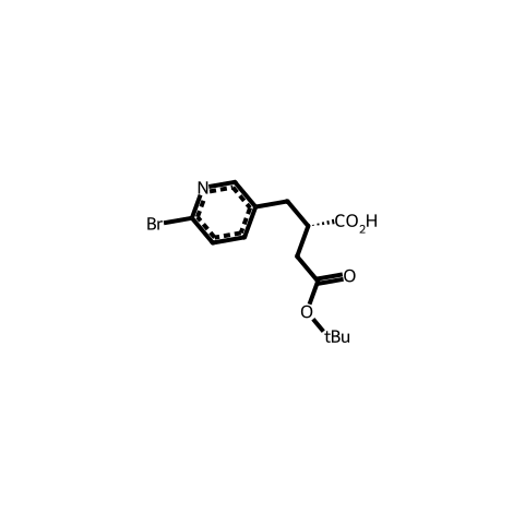 CC(C)(C)OC(=O)C[C@H](Cc1ccc(Br)nc1)C(=O)O